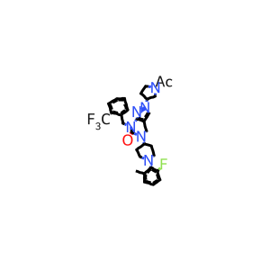 CC(=O)N1CCC(n2cc3c(n2)N(Cc2ccccc2C(F)(F)F)C(=O)N(C2CCN(c4c(C)cccc4F)CC2)C3)C1